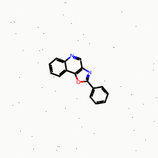 c1ccc(-c2nc3cnc4ccccc4c3o2)cc1